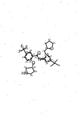 CC(C)(C)c1cn(C[C@H]2CCCO2)c(=NC(=O)c2cc(C(F)(F)F)ccc2O[C@H]2CCNC2)s1